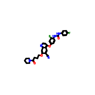 N#Cc1cc2c(Oc3ccc(NC(=O)Nc4ccc(F)cc4)c(F)c3)ccnc2cc1OCCCC(=O)N1CCCCC1